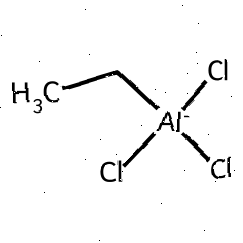 C[CH2][Al-]([Cl])([Cl])[Cl]